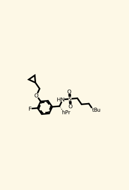 CCC[C@@H](NS(=O)(=O)CCCC(C)(C)C)c1ccc(F)c(OCC2CC2)c1